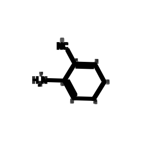 N#CC1=CCCC=C1N